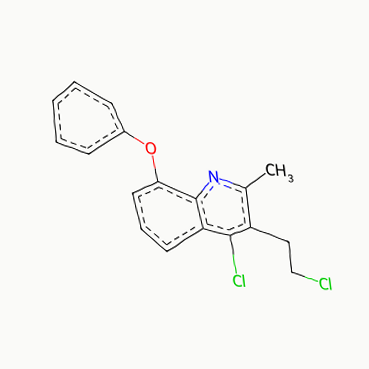 Cc1nc2c(Oc3ccccc3)cccc2c(Cl)c1CCCl